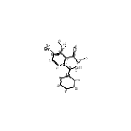 COC(=O)c1c(C(S)C2CCCCC2)ccc(Br)c1OC